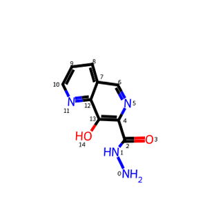 NNC(=O)c1ncc2cccnc2c1O